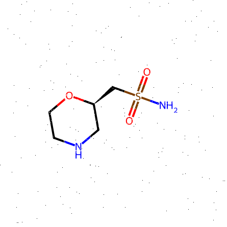 NS(=O)(=O)C[C@H]1CNCCO1